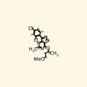 COCCC(C)Oc1nc(C)nc2c(-c3ccc(Cl)cc3Cl)noc12